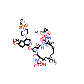 COc1ccc2c(O[C@@H]3C[C@H]4C(=O)N[C@]5(C(=O)NS(=O)(=O)C6(C)CC6)C[C@H]5/C=C\CC[C@@H](C)C[C@@H](C)[C@H](NC(=O)O)C(=O)N4C3)ncc(N3CCN(S(C)(=O)=O)CC3)c2c1